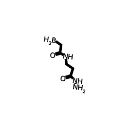 BCC(=O)NCCC(=O)NN